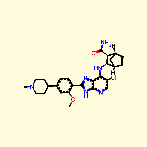 COc1cc(C2CCN(C)CC2)ccc1-c1nc2c(N[C@H]3[C@@H](C(N)=O)[C@@H]4C=C[C@H]3C4)c(Cl)cnc2[nH]1